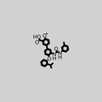 COc1ccc(-c2ccc(Oc3ccccc3C(C)C)c(NC(=O)Nc3cccc(C)c3)c2)cc1C(=O)O